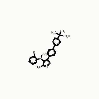 CCOC(=O)N(c1ccccc1F)c1c(-c2ccc(-c3ccc(C(C)(C)C(=O)O)cn3)cc2)noc1C